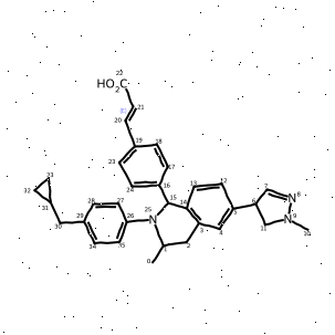 CC1Cc2cc(C3C=NN(C)C3)ccc2C(c2ccc(/C=C/C(=O)O)cc2)N1c1ccc(CC2CC2)cc1